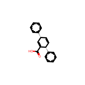 O=C(O)C1=C[C@H](c2ccccc2)C=C[C@@H]1c1ccccc1